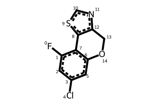 Fc1cc(Cl)cc2c1-c1scnc1CO2